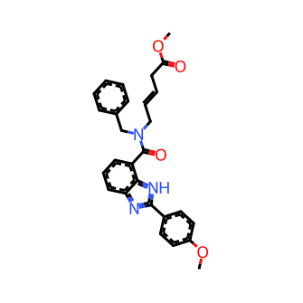 COC(=O)C/C=C/CN(Cc1ccccc1)C(=O)c1cccc2nc(-c3ccc(OC)cc3)[nH]c12